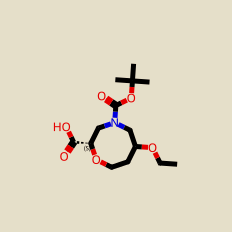 CCOC1CCO[C@H](C(=O)O)CN(C(=O)OC(C)(C)C)C1